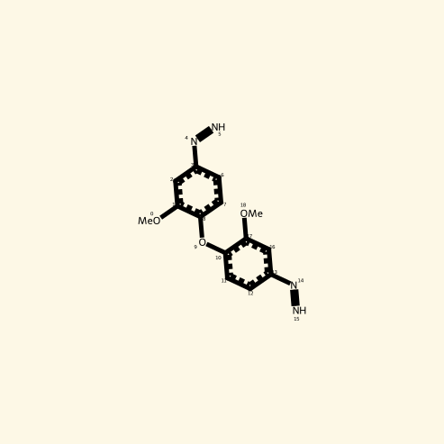 COc1cc(N=N)ccc1Oc1ccc(N=N)cc1OC